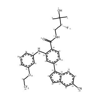 CC(C)(O)[C@H](F)CNC(=O)c1cnc(-c2ccc3cc(C#N)cnn23)cc1Nc1cncc(OCC(F)(F)F)c1